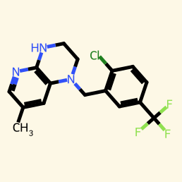 Cc1cnc2c(c1)N(Cc1cc(C(F)(F)F)ccc1Cl)CCN2